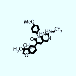 COc1ccc(-n2c3c(cc(-c4ccc5c(c4)C(C)(C)CO5)c2=O)C=NC(NCC(F)(F)F)N3)cc1